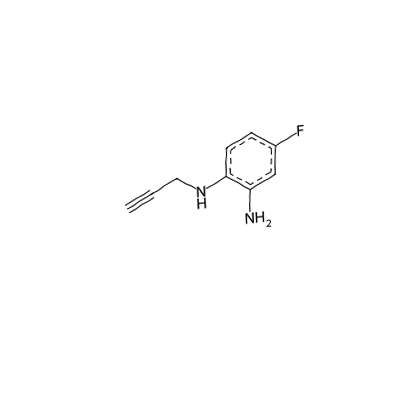 C#CCNc1ccc(F)cc1N